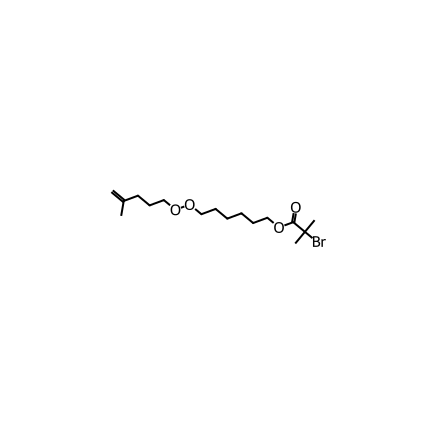 C=C(C)CCCOOCCCCCCOC(=O)C(C)(C)Br